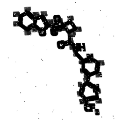 O=C(NCc1cc(-c2ccc(C(F)(F)F)cn2)ccn1)[C@@H]1CCN1S(=O)(=O)c1cc2ccccc2o1